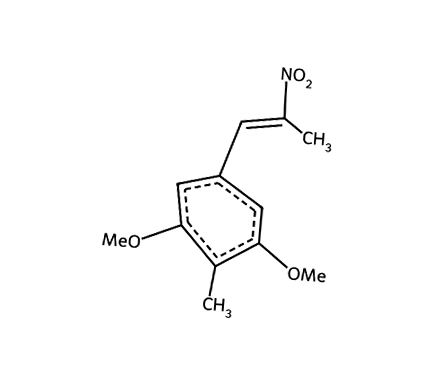 COc1cc(C=C(C)[N+](=O)[O-])cc(OC)c1C